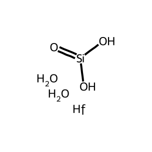 O.O.O=[Si](O)O.[Hf]